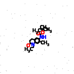 CCN1C(=O)CCc2cc(NC(=O)OC(C)(C)C)c(C)cc21